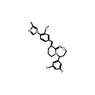 COc1cc(/C=C2\CCCN3C2=NOCCC3c2cc(F)cc(F)c2)ccc1-n1cnc(C)c1